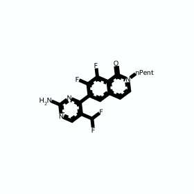 CCCCCn1ccc2cc(-c3nc(N)ncc3C(F)F)c(F)c(F)c2c1=O